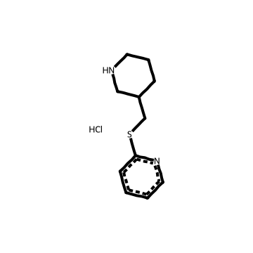 Cl.c1ccc(SCC2CCCNC2)nc1